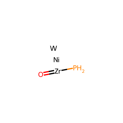 [Ni].[O]=[Zr][PH2].[W]